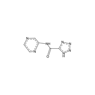 O=C(Nc1cnccn1)c1nnn[nH]1